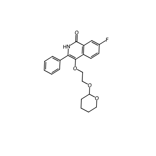 O=c1[nH]c(-c2ccccc2)c(OCCOC2CCCCO2)c2ccc(F)cc12